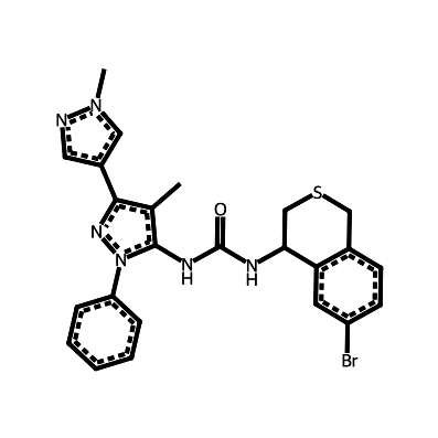 Cc1c(-c2cnn(C)c2)nn(-c2ccccc2)c1NC(=O)NC1CSCc2ccc(Br)cc21